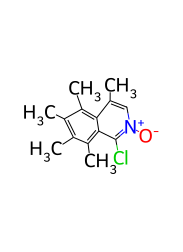 Cc1c(C)c(C)c2c(Cl)[n+]([O-])cc(C)c2c1C